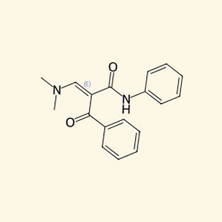 CN(C)/C=C(/C(=O)Nc1ccccc1)C(=O)c1ccccc1